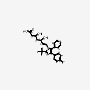 CC(C)(C)c1nc(-c2ccc(F)cc2)c(-c2ccncc2)n1C=CC(O)CC(O)CC(=O)O